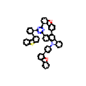 C1=C(c2ccc3oc4cccc(-c5nc(-c6ccccc6)nc(-c6ccccc6-c6cccc7sc8ccccc8c67)n5)c4c3c2)CC2C(=C1)N(c1ccc(-c3cccc4c3oc3ccccc34)cc1)c1ccccc12